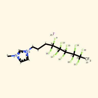 Cn1cc[n+](CCCC(F)(F)C(F)(F)C(F)(F)C(F)(F)C(F)(F)C(F)(F)F)c1.[I-]